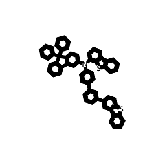 c1ccc(C2(c3ccccc3)c3ccccc3-c3cc(N(c4ccc(-c5cccc(-c6ccc7sc8ccccc8c7c6)c5)cc4)c4cccc5c4sc4ccccc45)ccc32)cc1